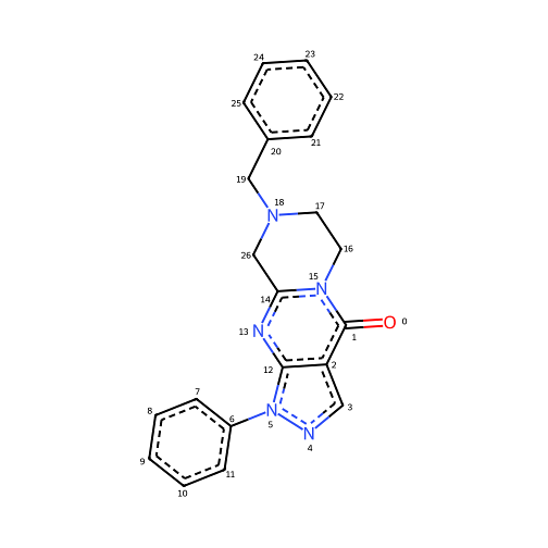 O=c1c2cnn(-c3ccccc3)c2nc2n1CCN(Cc1ccccc1)C2